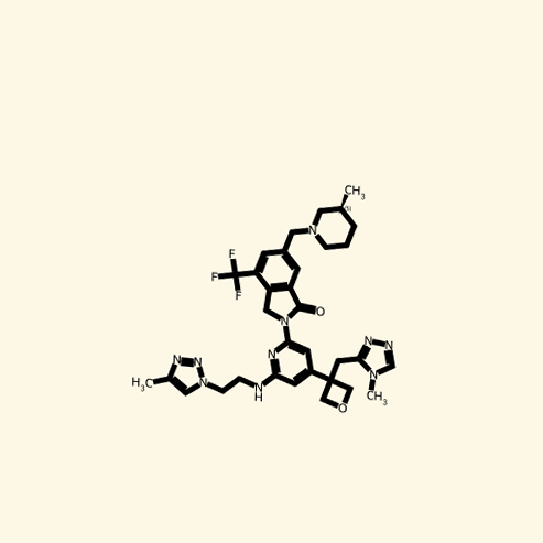 Cc1cn(CCNc2cc(C3(Cc4nncn4C)COC3)cc(N3Cc4c(cc(CN5CCC[C@H](C)C5)cc4C(F)(F)F)C3=O)n2)nn1